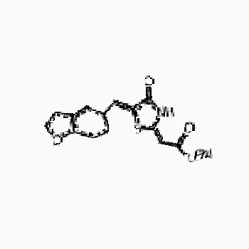 CC(C)(C)C(=O)/C=c1\[nH]c(=O)/c(=C/c2ccc3occc3c2)s1